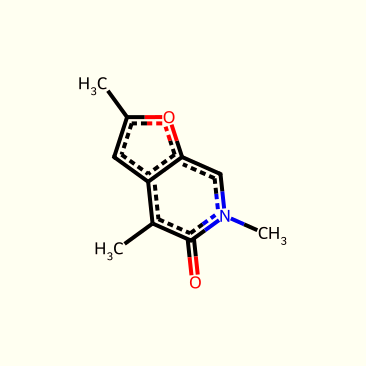 Cc1cc2c(C)c(=O)n(C)cc2o1